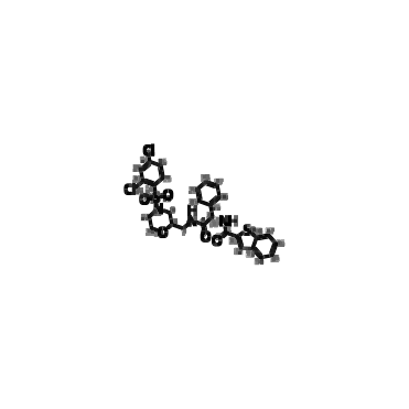 O=C(N[C@H](C(=O)NCC1CN(S(=O)(=O)c2ccc(Cl)cc2Cl)CCO1)c1ccccc1)c1cc2ccccc2s1